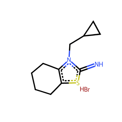 Br.N=c1sc2c(n1CC1CC1)CCCC2